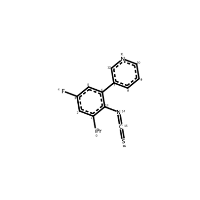 CC(C)c1cc(F)cc(-c2cccnc2)c1N=C=S